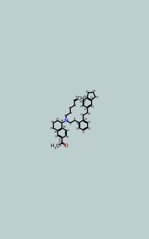 C=CCCCCN(CCc1ccccc1CCc1ccc2c(c1)CCC2)C1CCCc2cc(C(C)=O)ccc21